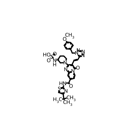 COc1ccc(Cn2nnnc2C=Cc2c(N3CCC[C@@H](NS(=O)(=O)O)C3)nc3cc(C(=O)Nc4nc(C(C)(C)C)cs4)ccn3c2=O)cc1